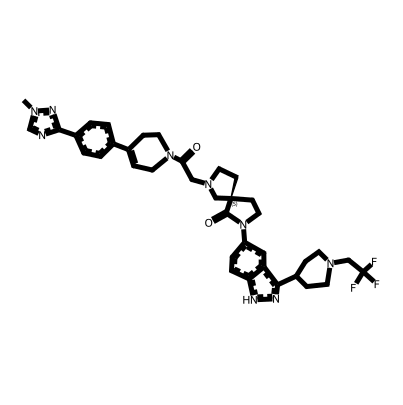 Cn1cnc(-c2ccc(C3=CCN(C(=O)CN4CC[C@]5(CCN(c6ccc7[nH]nc(C8CCN(CC(F)(F)F)CC8)c7c6)C5=O)C4)CC3)cc2)n1